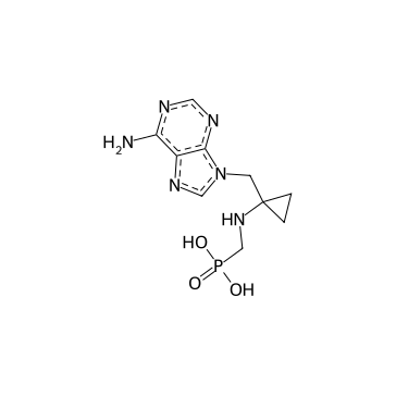 Nc1ncnc2c1ncn2CC1(NCP(=O)(O)O)CC1